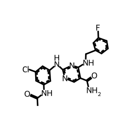 CC(=O)Nc1cc(Cl)cc(Nc2ncc(C(N)=O)c(NCc3cccc(F)c3)n2)c1